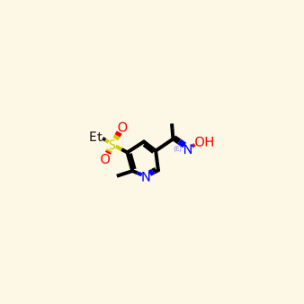 CCS(=O)(=O)c1cc(/C(C)=N/O)cnc1C